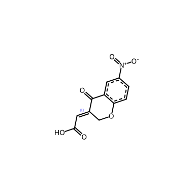 O=C(O)/C=C1\COc2ccc([N+](=O)[O-])cc2C1=O